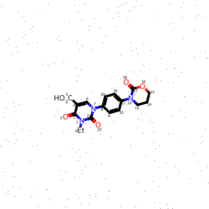 CCn1c(=O)c(C(=O)O)cn(-c2ccc(N3CCCOC3=O)cc2)c1=O